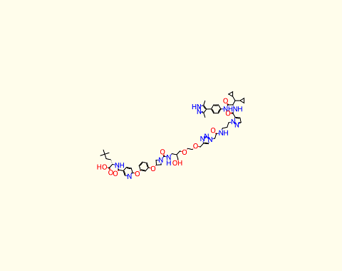 Cc1n[nH]c(C)c1-c1ccc(NC(=O)[C@@H](NC(=O)c2ccnn2CCCNC(=O)Cn2cc(COCCOCC(CO)CNC(=O)N3CC(Oc4cccc(Oc5ccc(C(=O)N[C@@H](CCC(C)(C)C)C(=O)O)cn5)c4)C3)nn2)C(C2CC2)C2CC2)cc1